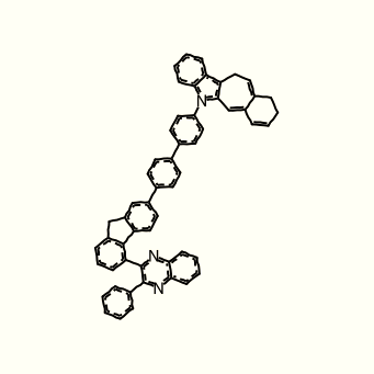 C1=CC2=Cc3c(c4ccccc4n3-c3ccc(-c4ccc(-c5ccc6c(c5)Cc5cccc(-c7nc8ccccc8nc7-c7ccccc7)c5-6)cc4)cc3)CC=C2CC1